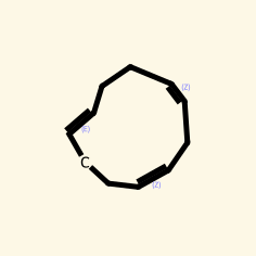 C1=C\CC/C=C/CC/C=C\C/1